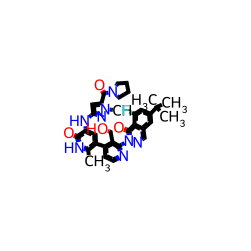 Cc1[nH]c(=O)c(Nc2cc(C(=O)N3CCCC3)n(C)n2)cc1-c1ccnc(-n2ncc3cc(C(C)(C)C)cc(F)c3c2=O)c1CO